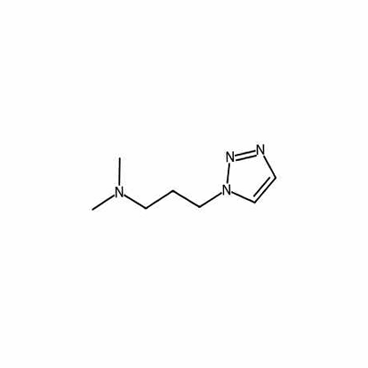 CN(C)CCCn1ccnn1